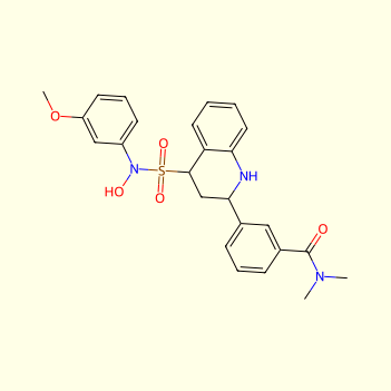 COc1cccc(N(O)S(=O)(=O)C2CC(c3cccc(C(=O)N(C)C)c3)Nc3ccccc32)c1